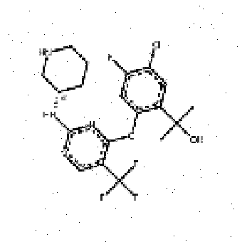 CC(C)(O)c1cc(Cl)c(F)cc1Oc1nc(N[C@H]2CCCNC2)ncc1C(F)(F)F